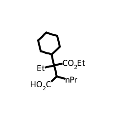 CCCC(C(=O)O)C(CC)(C(=O)OCC)C1CCCCC1